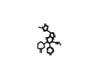 Cn1cc(-c2cnn3c(N)c(-c4ccncc4)c(C4CCCNC4)nc23)cn1